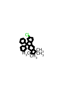 CC1(C)CC(C)(C)c2cc3c(cc21)-c1ccc(Cl)cc1C3(c1ccccc1)c1ccccc1